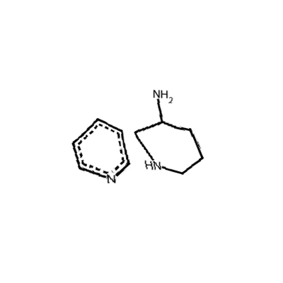 NC1CCCNC1.c1ccncc1